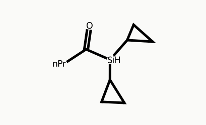 CCCC(=O)[SiH](C1CC1)C1CC1